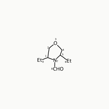 CCC1COCC(CC)N1C=O